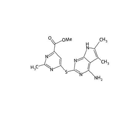 COC(=O)c1cc(Sc2nc(N)c3c(C)c(C)[nH]c3n2)nc(C)n1